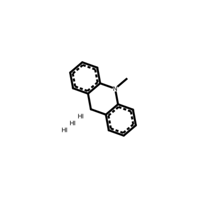 CN1c2ccccc2Cc2ccccc21.I.I.I